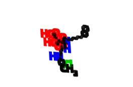 Cc1ccc(NCCCCOC(C(=O)NCCCCCCc2ccc3ccccc3c2)C(OCC(=O)O)C(=O)O)cc1Cl